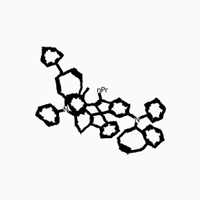 CCCC1=C(c2ccccc2C)C2(C3=C(CCC(N(C4=C/CC#CC(c5ccccc5)/C=C\4)c4ccccc4)=C3)c3ccccc32)c2cc(N(/C3=C/CC#CCc4ccccc43)c3ccccc3)ccc21